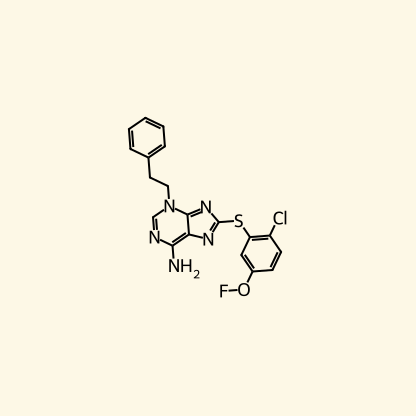 Nc1ncn(CCc2ccccc2)c2nc(Sc3cc(OF)ccc3Cl)nc1-2